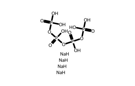 O=P(O)(O)OP(=O)(O)OP(=O)(O)OP(=O)(O)O.[NaH].[NaH].[NaH].[NaH]